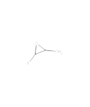 CC1OC1F